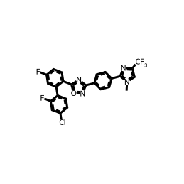 Cn1cc(C(F)(F)F)nc1-c1ccc(-c2noc(-c3ccc(F)cc3-c3ccc(Cl)cc3F)n2)cc1